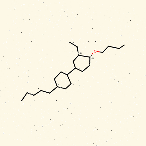 CCCCCC1CCC(C2CC[C@@H](OCCCC)[C@H](CC)C2)CC1